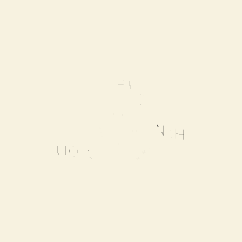 CCOc1ccc(S(=O)(=O)O)c2ccccc12.[NaH]